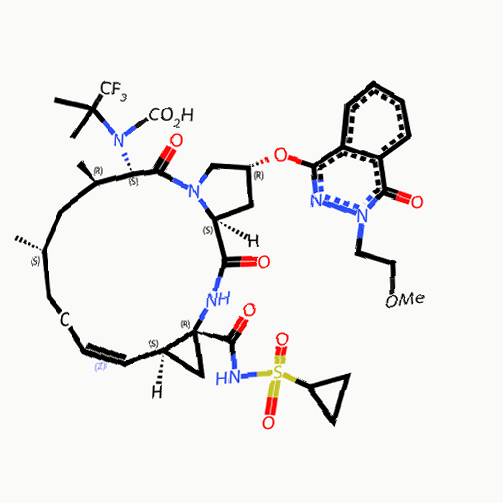 COCCn1nc(O[C@@H]2C[C@H]3C(=O)N[C@]4(C(=O)NS(=O)(=O)C5CC5)C[C@H]4/C=C\CC[C@H](C)C[C@@H](C)[C@H](N(C(=O)O)C(C)(C)C(F)(F)F)C(=O)N3C2)c2ccccc2c1=O